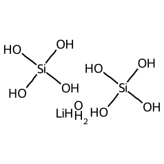 O.O[Si](O)(O)O.O[Si](O)(O)O.[LiH]